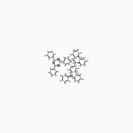 c1ccc(-c2nc(-c3ccccc3)nc(-c3ccc(-c4c(-c5ccc6c(c5)c5ccccc5n6-c5ccccc5)c5ccccc5c5ccccc45)cc3)n2)cc1